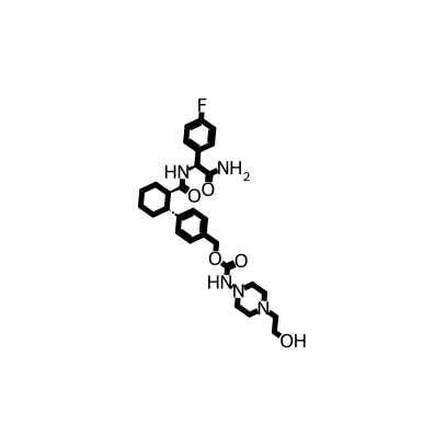 NC(=O)[C@@H](NC(=O)[C@@H]1CCCC[C@H]1c1ccc(COC(=O)NN2CCN(CCO)CC2)cc1)c1ccc(F)cc1